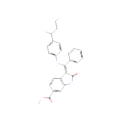 COC(=O)c1ccc2c(c1)NC(=O)C2=C(Nc1ccc(C(N)CCO)cc1)c1ccccc1